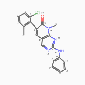 Cc1cccc(Cl)c1-c1cc2cnc(Nc3ccccc3)nc2n(C)c1=O